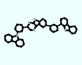 c1cc(-c2ccc3oc4nc(-c5cccc(-n6c7ccccc7c7ccccc76)c5)cnc4c3c2)cc(-c2cccc3c2sc2ccccc23)c1